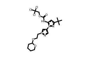 CC(C)(C)c1cc(NC(=O)OCC(Cl)(Cl)Cl)n(-c2cnn(CCOC3CCCCO3)c2)n1